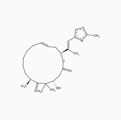 C/C(=C\c1csc(C)n1)[C@@H]1C/C=C/CCCCC[C@H](C)C(=O)C(C)(C)[C@@H](O)CC(=O)O1